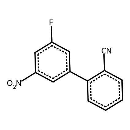 N#Cc1ccccc1-c1cc(F)cc([N+](=O)[O-])c1